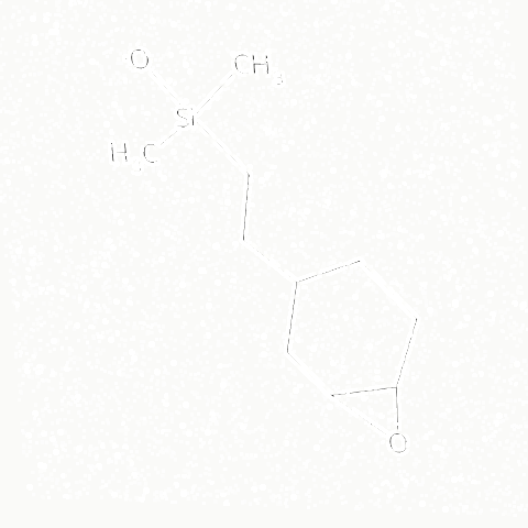 C[Si](C)([O])CCC1CCC2OC2C1